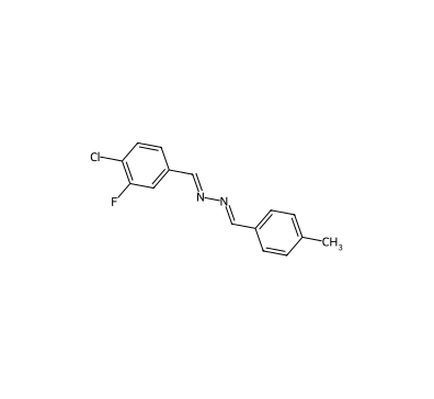 Cc1ccc(C=NN=Cc2ccc(Cl)c(F)c2)cc1